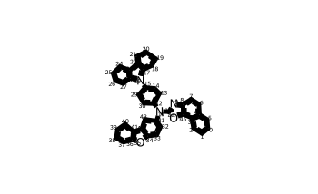 c1ccc2c(c1)ccc1nc(N(c3ccc(-n4c5ccccc5c5ccccc54)cc3)c3ccc4oc5ccccc5c4c3)oc12